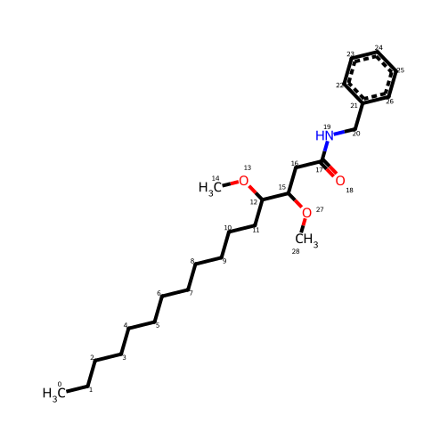 CCCCCCCCCCCCC(OC)C(CC(=O)NCc1ccccc1)OC